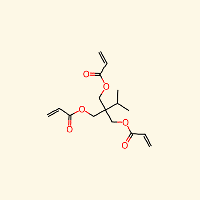 C=CC(=O)OCC(COC(=O)C=C)(COC(=O)C=C)C(C)C